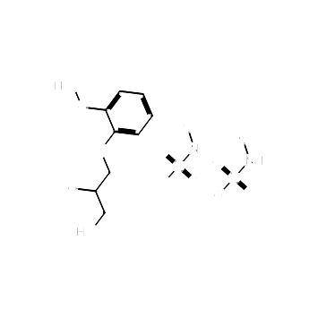 CNS(=O)(=O)O.CNS(=O)(=O)O.COc1ccccc1OCC(O)CO